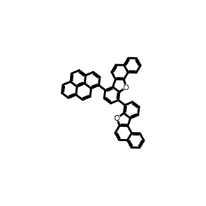 c1ccc2c(c1)ccc1c2oc2c(-c3cccc4c3oc3ccc5ccccc5c34)ccc(-c3ccc4ccc5cccc6ccc3c4c56)c21